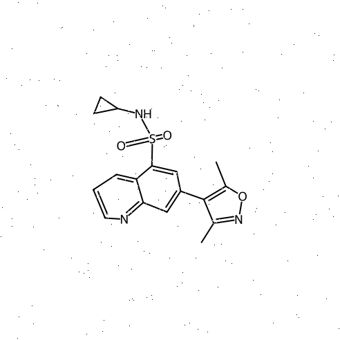 Cc1noc(C)c1-c1cc(S(=O)(=O)NC2CC2)c2cccnc2c1